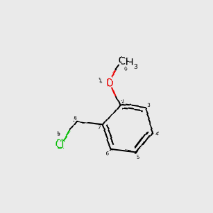 COc1ccccc1[CH]Cl